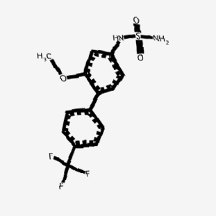 COc1cc(NS(N)(=O)=O)ccc1-c1ccc(C(F)(F)F)cc1